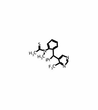 CC(=S)N(C)c1ccccc1C(c1cncnc1C(F)(F)F)C(C)C